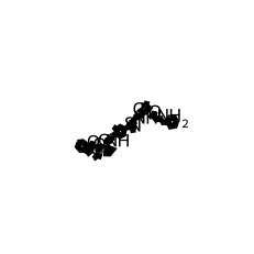 Cc1cc(C2SC(CNC(=O)[C@@H](CC(=O)C[C@H](N)Cc3ccccc3)CC(C)C)=NC2C)ccc1CNC(=O)[C@@H]1CCCN1C(=O)[C@H](C(C)C)N1Cc2ccccc2C1=O